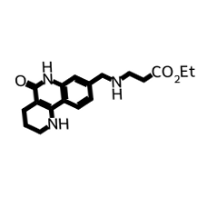 CCOC(=O)CCNCc1ccc2c3c(c(=O)[nH]c2c1)CCCN3